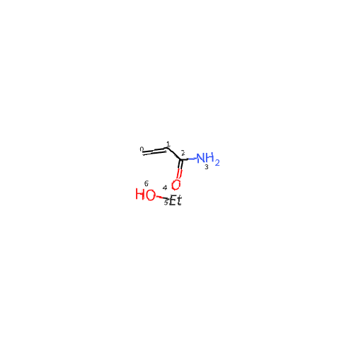 C=CC(N)=O.CCO